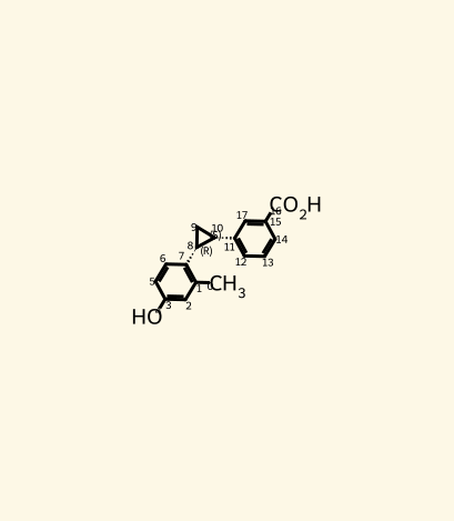 Cc1cc(O)ccc1[C@@H]1C[C@@H]1c1cccc(C(=O)O)c1